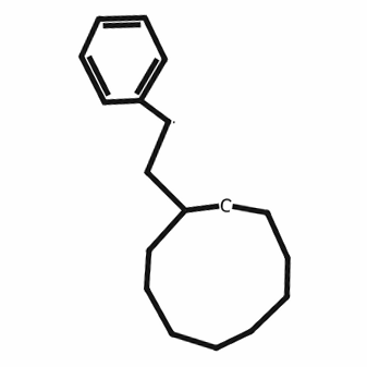 [CH](CC1CCCCCCCCC1)c1ccccc1